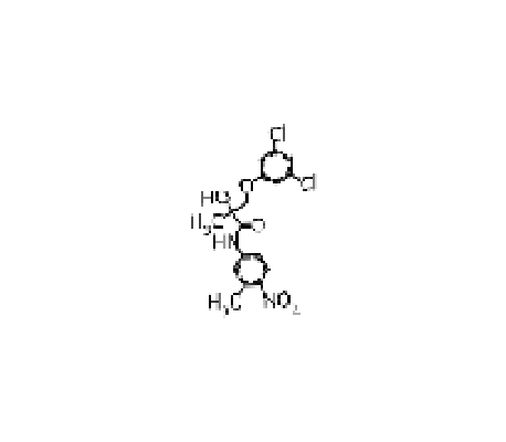 Cc1cc(NC(=O)C(C)(O)COc2cc(Cl)cc(Cl)c2)ccc1[N+](=O)[O-]